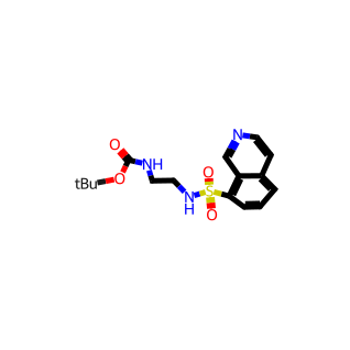 CC(C)(C)OC(=O)NCCNS(=O)(=O)c1cccc2ccncc12